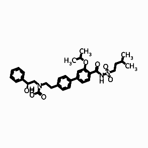 CC(C)CCS(=O)(=O)NC(=O)c1ccc(-c2ccc(CCN(C[C@@H](O)c3ccccc3)C(=O)O)cc2)cc1OC(C)C